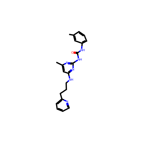 Cc1cccc(NC(=O)Nc2nc(C)cc(NCCCc3ccccn3)n2)c1